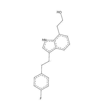 OCCc1cccc2c([CH]Cc3ccc(F)cc3)c[nH]c12